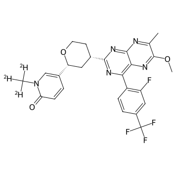 [2H]C([2H])([2H])n1cc([C@H]2C[C@@H](c3nc(-c4ccc(C(F)(F)F)cc4F)c4nc(OC)c(C)nc4n3)CCO2)ccc1=O